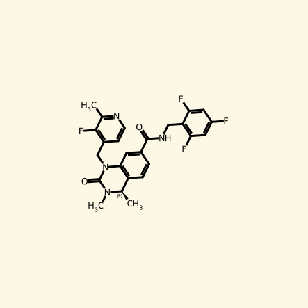 Cc1nccc(CN2C(=O)N(C)[C@H](C)c3ccc(C(=O)NCc4c(F)cc(F)cc4F)cc32)c1F